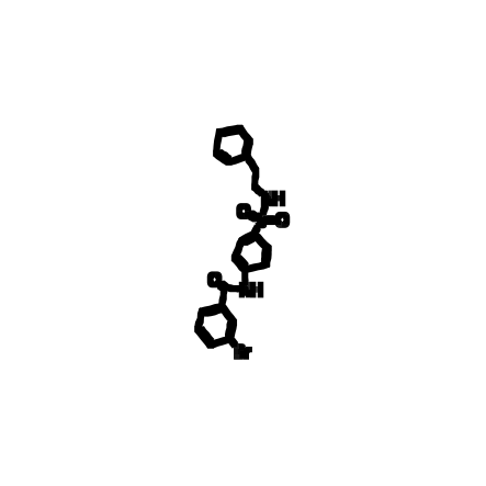 O=C(Nc1ccc(S(=O)(=O)NCCc2ccccc2)cc1)c1cccc(Br)c1